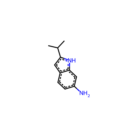 CC(C)c1cc2ccc(N)cc2[nH]1